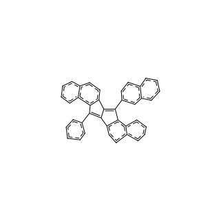 c1ccc(C2=C3C(=C(c4ccc5ccccc5c4)c4c3ccc3ccccc43)c3ccc4ccccc4c32)cc1